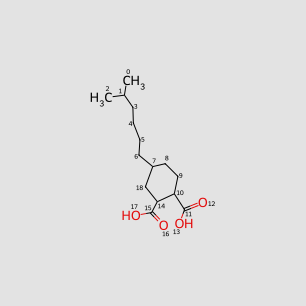 CC(C)CCCCC1CCC(C(=O)O)C(C(=O)O)C1